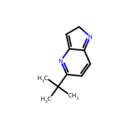 CC(C)(C)c1ccc2c(n1)=CCN=2